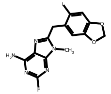 Cn1c(Cc2cc3c(cc2I)OCO3)nc2c(N)nc(F)nc21